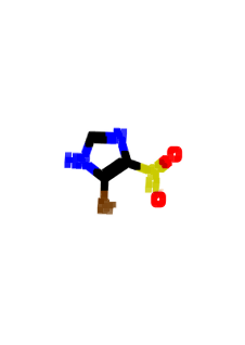 O=[SH](=O)c1nc[nH]c1Br